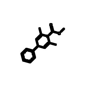 COC(=O)N1C(C)=CC(c2ccccc2)C=C1C